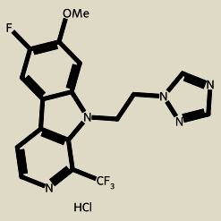 COc1cc2c(cc1F)c1ccnc(C(F)(F)F)c1n2CCn1cncn1.Cl